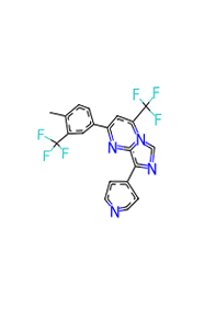 Cc1ccc(-c2cc(C(F)(F)F)n3cnc(-c4ccncc4)c3n2)cc1C(F)(F)F